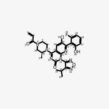 C=CC(=O)N1CCN(c2nc(=O)n(-c3nonc3C(C)C)c3nc(-c4c(O)cccc4F)c(Cl)cc23)[C@@H](C)C1